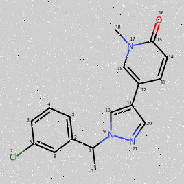 CC(c1cccc(Cl)c1)n1cc(-c2ccc(=O)n(C)c2)cn1